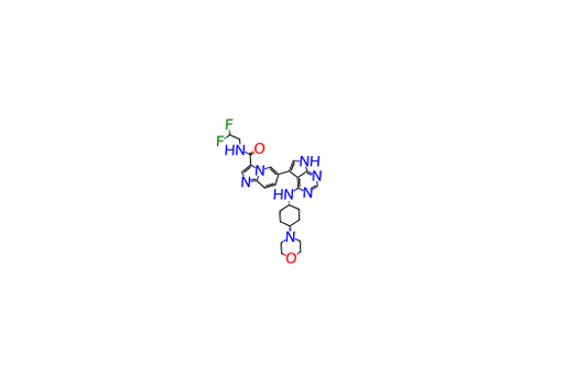 O=C(NCC(F)F)c1cnc2ccc(-c3c[nH]c4ncnc(N[C@H]5CC[C@H](N6CCOCC6)CC5)c34)cn12